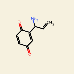 C=CC(N)C1=CC(=O)C=CC1=O